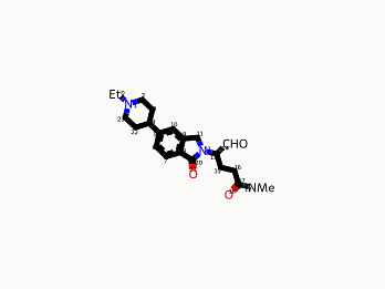 CCN1CCC(c2ccc3c(c2)CN(C(C=O)CCC(=O)NC)C3=O)CC1